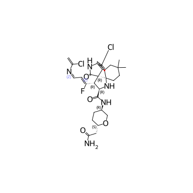 C=C(Cl)/N=C\C=C(/F)[C@H]1[C@H](C(=O)N[C@@H]2CC[C@@H](CC(N)=O)OC2)NC2(CCC(C)(C)CC2)[C@@]12C(=O)Nc1cc(Cl)ccc12